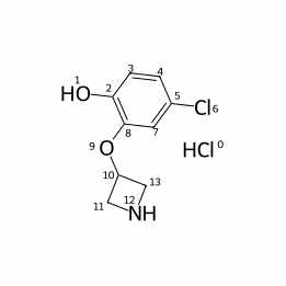 Cl.Oc1ccc(Cl)cc1OC1CNC1